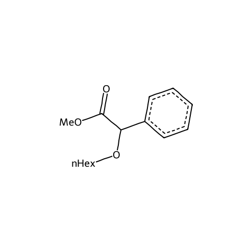 CCCCCCOC(C(=O)OC)c1ccccc1